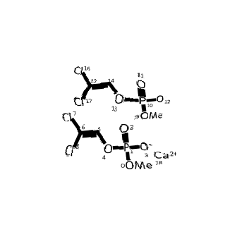 COP(=O)([O-])OC=C(Cl)Cl.COP(=O)([O-])OC=C(Cl)Cl.[Ca+2]